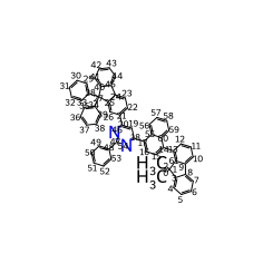 CC1(C)c2ccccc2-c2cccc(-c3ccc(-c4cc(-c5ccc6c(c5)C(c5ccccc5)(c5ccccc5)c5ccccc5-6)nc(-c5ccccc5)n4)c4ccccc34)c21